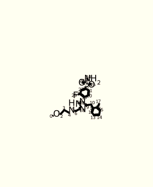 COCCCNCc1nc(Cc2ccccc2C)n(-c2ccc(S(N)(=O)=O)cc2F)n1